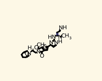 CN/C(=C\C=N)Nc1nccc(-c2cc3c(s2)C(C)(C)N(CCN2CC4CCC(C2)O4)C3=O)n1